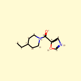 [CH2]CC1CCN(C(=O)c2cnco2)CC1